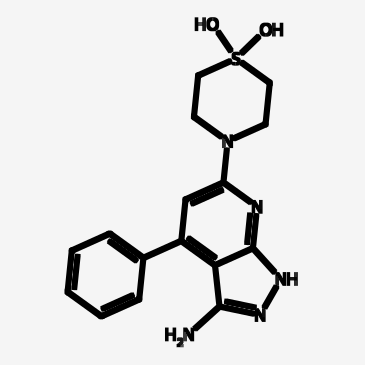 Nc1n[nH]c2nc(N3CCS(O)(O)CC3)cc(-c3ccccc3)c12